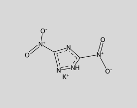 O=[N+]([O-])c1n[nH]c([N+](=O)[O-])n1.[K+]